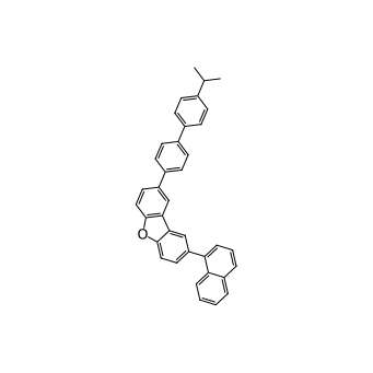 CC(C)c1ccc(-c2ccc(-c3ccc4oc5ccc(-c6cccc7ccccc67)cc5c4c3)cc2)cc1